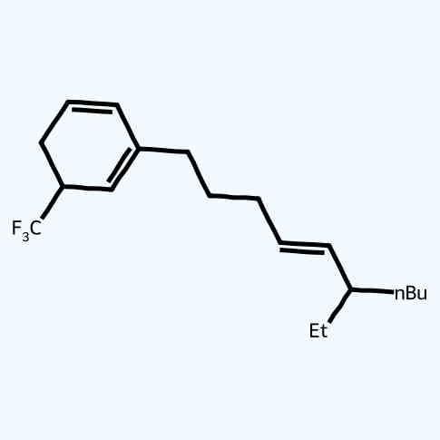 CCCCC(/C=C/CCCC1=CC(C(F)(F)F)CC=C1)CC